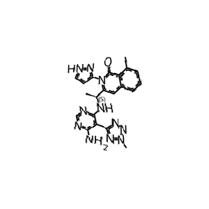 Cc1cccc2cc([C@H](C)Nc3ncnc(N)c3-c3nnn(C)n3)n(-c3cc[nH]n3)c(=O)c12